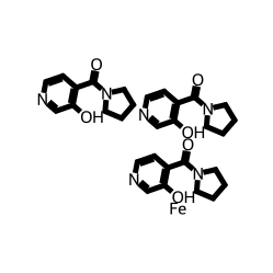 O=C(c1ccncc1O)N1CCCC1.O=C(c1ccncc1O)N1CCCC1.O=C(c1ccncc1O)N1CCCC1.[Fe]